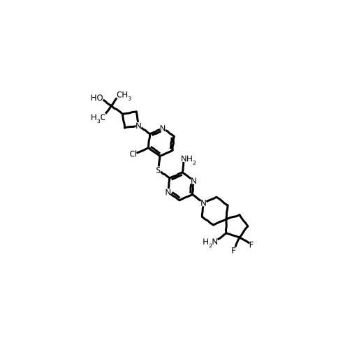 CC(C)(O)C1CN(c2nccc(Sc3ncc(N4CCC5(CC4)CCC(F)(F)C5N)nc3N)c2Cl)C1